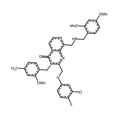 COc1ccc(CNCc2nccc3c(=O)n(Cc4ccc(C)cc4OC)c(COc4ccc(F)c(Cl)c4)nc23)c(OC)c1